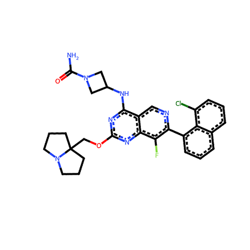 NC(=O)N1CC(Nc2nc(OCC34CCCN3CCC4)nc3c(F)c(-c4cccc5cccc(Cl)c45)ncc23)C1